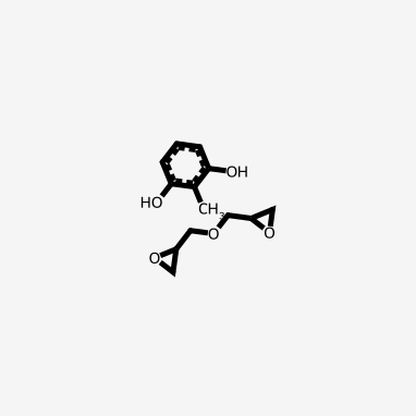 C(OCC1CO1)C1CO1.Cc1c(O)cccc1O